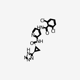 O=C(Nc1ccnc(NC(=O)[C@@H]2C[C@H]2c2nnn[nH]2)c1)c1c(Cl)cccc1Cl